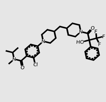 CC(C)N(C)C(=O)c1ccc(N2CCC(CC3CCN(C(=O)C(O)(c4ccccc4)C(F)(F)F)CC3)CC2)cc1Cl